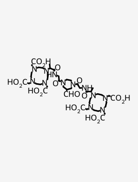 CC(C(=O)NCC(=O)N1CCN(C(=O)CNC(=O)C(C)N2CCN(CC(=O)O)CCN(CC(=O)O)CCN(CC(=O)O)CC2)CC(C=O)C1)N1CCN(CC(=O)O)CCN(CC(=O)O)CCN(CC(=O)O)CC1